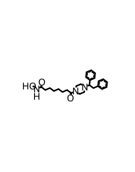 O=C(CCCCCCC(=O)N1CCN(C(Cc2ccccc2)c2ccccc2)CC1)NO